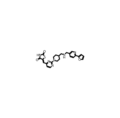 O=C1NC(=O)C(=Cc2ccnc(N3CCC(CNCc4ccc(-c5ccco5)nc4)CC3)n2)S1